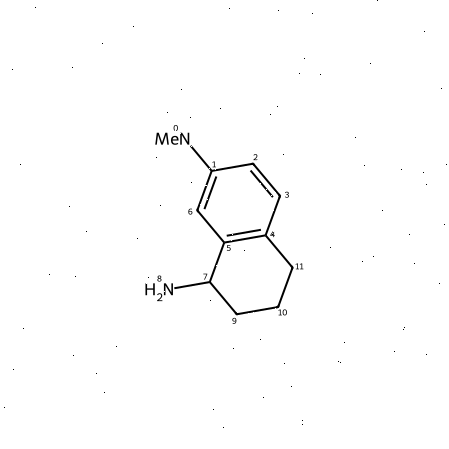 CNc1ccc2c(c1)C(N)CCC2